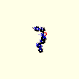 CN1CCN(c2cc(C(=O)Nc3cc4nc(-c5cncc(N6CCCC6)n5)ccc4cn3)ccn2)CC1